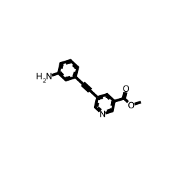 COC(=O)c1cncc(C#Cc2cccc(N)c2)c1